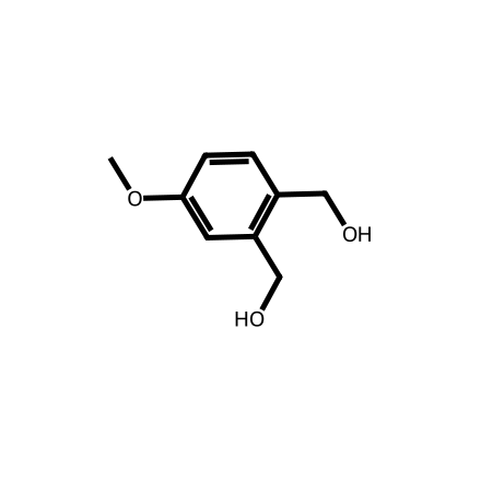 COc1ccc(CO)c(CO)c1